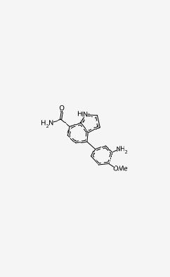 COc1ccc(-c2ccc(C(N)=O)c3[nH]ccc23)cc1N